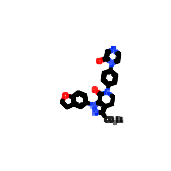 CCOC(=O)c1nn(-c2ccc3c(c2)CCO3)c2c1CCN(c1ccc(-n3ccncc3=O)cc1)C2=O